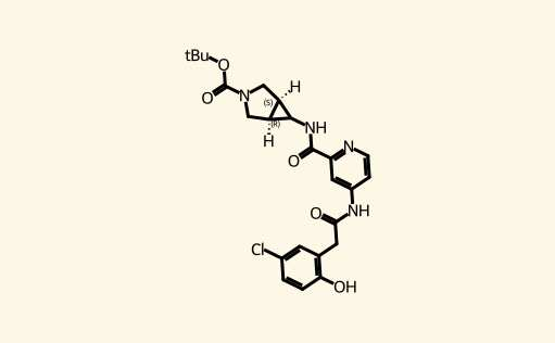 CC(C)(C)OC(=O)N1C[C@@H]2C(NC(=O)c3cc(NC(=O)Cc4cc(Cl)ccc4O)ccn3)[C@@H]2C1